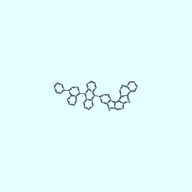 c1ccc(-c2ccc(-c3c4ccccc4c(-c4ccc5c(c4)sc4ccc6sc7c8ccccc8ccc7c6c45)c4ccccc34)c3ccccc23)cc1